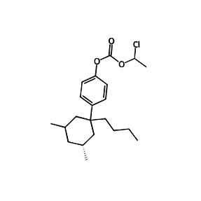 CCCCC1(c2ccc(OC(=O)OC(C)Cl)cc2)CC(C)C[C@@H](C)C1